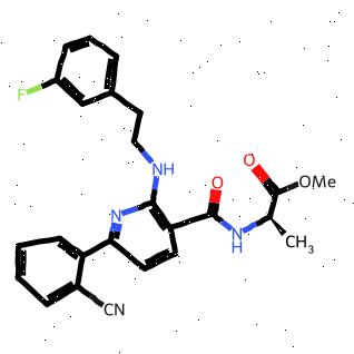 COC(=O)[C@@H](C)NC(=O)c1ccc(-c2ccccc2C#N)nc1NCCc1cccc(F)c1